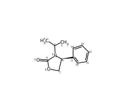 CC(C)N1C(=O)OC[C@@H]1c1ccccc1